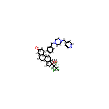 C[C@]12C[C@H](c3ccc(CN4CCN(Cc5ccncc5)CC4)cc3)C3C4CCC(=O)C=C4CCC3C1CC[C@@]2(O)C(F)(F)C(F)(F)F